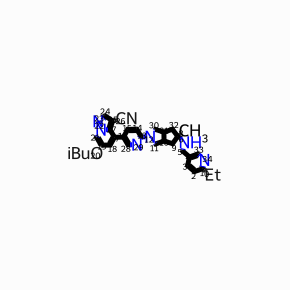 CCc1ccc(CNC2(C)CC3CN(c4ccc(-c5cc(OCC(C)C)cn6ncc(C#N)c56)cn4)CC3C2)cn1